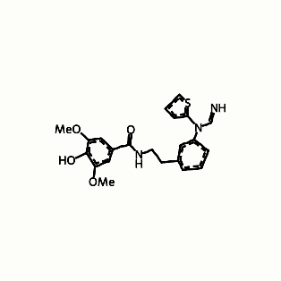 COc1cc(C(=O)NCCc2cccc(N(C=N)c3cccs3)c2)cc(OC)c1O